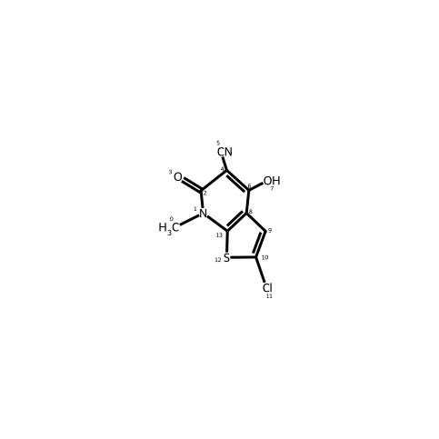 Cn1c(=O)c(C#N)c(O)c2cc(Cl)sc21